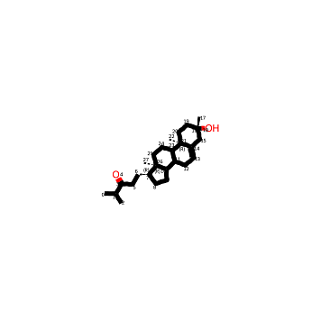 CC(C)C(=O)CC[C@H]1CCC2C3CC=C4C[C@@](C)(O)CC[C@]4(C)C3CC[C@@]21C